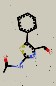 CC(=O)Nc1nc(C=O)c(-c2ccccc2)s1